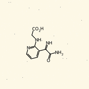 N=C(C(N)=O)c1cccnc1NCC(=O)O